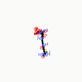 COCC1O[C@@H](n2cc(/C=C/C(=O)NCCCCCCNC(=O)CCCCC3SCC4NC(=O)NC43)c(=O)[nH]c2=O)C[C@H]1OP(=O)(O)OC